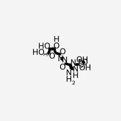 Nc1[nH]c(P(=O)(O)O)nc1C(=O)N=NC(=O)C1O[C@H](CO)[C@@H](O)[C@H]1O